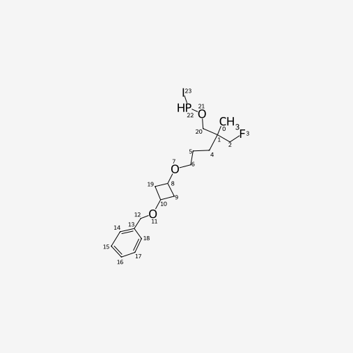 CC(CF)(CCCOC1CC(OCc2ccccc2)C1)COPI